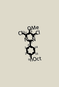 CCCCCCCCc1ccc(-c2nc(Cl)c(OC)c(Cl)n2)cc1